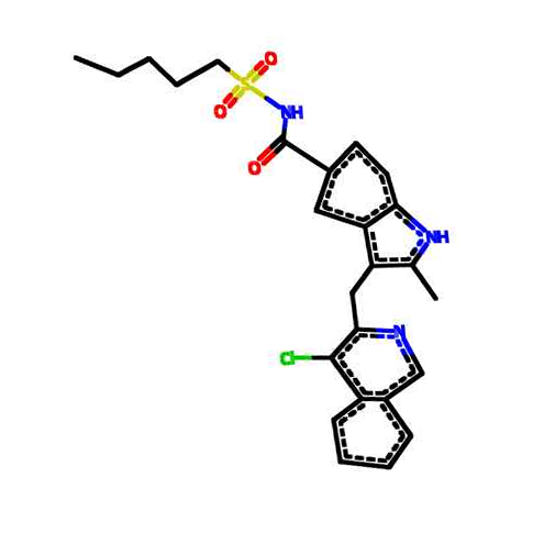 CCCCCS(=O)(=O)NC(=O)c1ccc2[nH]c(C)c(Cc3ncc4ccccc4c3Cl)c2c1